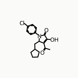 CC(=O)C1=C(O)C(=O)N(c2ccc(Cl)cc2)C1CC1CCCC1